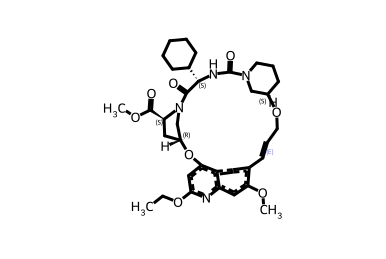 CCOc1cc2c3cc(c(OC)cc3n1)/C=C/CO[C@H]1CCCN(C1)C(=O)N[C@@H](C1CCCCC1)C(=O)N1C[C@@H](C[C@H]1C(=O)OC)O2